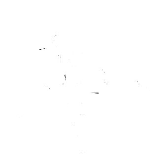 CC(C)OC(=O)[C@H](C)N[P@](=O)(OC[C@@]1(C#N)O[C@@H](c2ccc3c(N)ccnn23)[C@H](OC(=O)C2COC2)[C@@H]1OC(=O)C1COC1)Oc1ccccc1